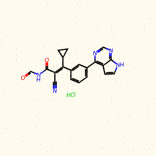 Cl.N#C/C(C(=O)NC=O)=C(\c1cccc(-c2ncnc3[nH]ccc23)c1)C1CC1